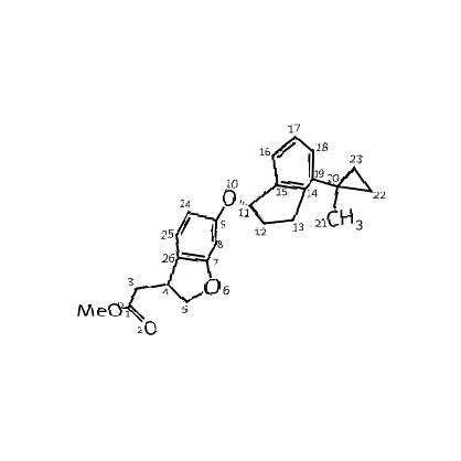 COC(=O)CC1COc2cc(O[C@H]3CCc4c3cccc4C3(C)CC3)ccc21